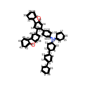 c1ccc(-c2ccc(-c3ccc(N(c4ccccc4)c4ccc(-c5cc6oc7ccccc7c6cc5-c5ccc6oc7ccccc7c6c5)cc4)cc3)cc2)cc1